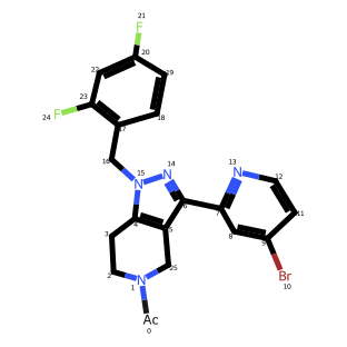 CC(=O)N1CCc2c(c(-c3cc(Br)ccn3)nn2Cc2ccc(F)cc2F)C1